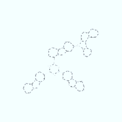 c1ccc2c(c1)ccc1c2c2ccccc2n1-c1ccc2c(c1)sc1c(-c3nc(-c4ccc5c(c4)oc4ccccc45)nc(-c4ccc5c(c4)sc4ccccc45)n3)cccc12